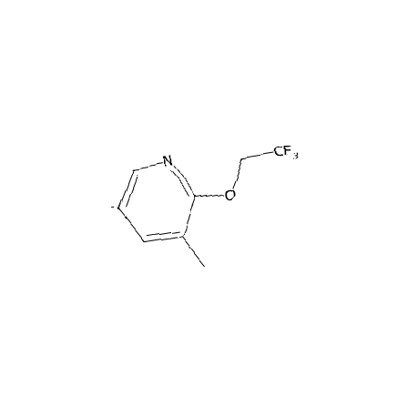 Cc1c[c]cnc1OCC(F)(F)F